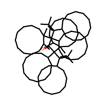 CC(C)=C(C1CCCCCCCCCC1)C(C(=O)C(C(=C(C)C)C1CCCCCCCCCC1)(C1CCCCCCCCCC1)C1(C)CCCCCCCCCC1C)(C1CCCCCCCCCC1)C1(C)CCCCCCCCCC1C